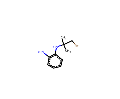 CC(C)(CBr)Nc1ccccc1N